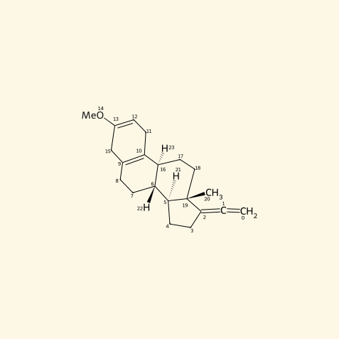 C=C=C1CC[C@H]2[C@@H]3CCC4=C(CC=C(OC)C4)[C@H]3CC[C@]12C